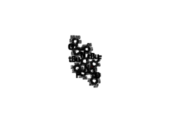 CC(C)(C)c1c(-c2cccc(F)c2)c(-n2c3ccccc3c3c4c(ccc32)oc2ccccc24)c(-c2cccc(F)c2)c(C(C)(C)C)c1-n1c2ccccc2c2c3c(ccc21)oc1ccccc13